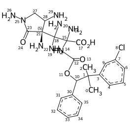 CC(C)(c1cccc(Cl)c1)C(OC(=O)NC(N)(C(=O)O)C(N)(N)[C@]1(N)C(=O)N(N)CC1N)c1ccccc1